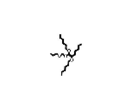 CCCCCCOC(CCCCC)=C(OCCCCCC)OCOCCC